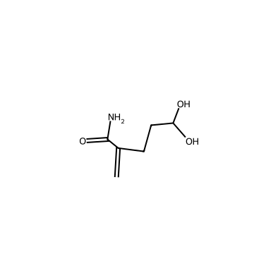 C=C(CCC(O)O)C(N)=O